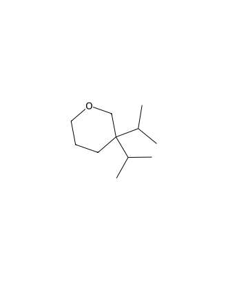 CC(C)C1(C(C)C)CCCOC1